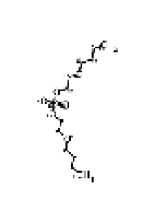 CCCCOCCOP([O])(=O)OCCOCCCC